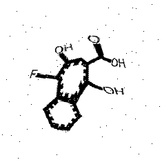 O=C(O)c1c(O)c(F)c2ccccc2c1O